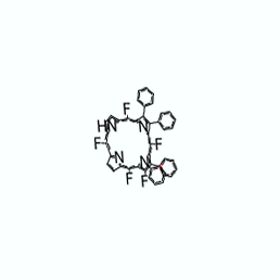 Fc1c2nc(c(F)c3c(F)c(-c4ccccc4)c(c(F)c4nc(c(F)c5ccc1[nH]5)C(c1ccccc1)=C4c1ccccc1)n3-c1ccccc1)C=C2